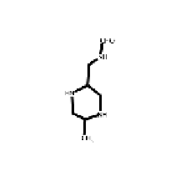 CC1CNC(CN[C]=O)CN1